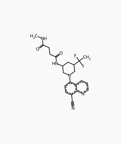 CNC(=O)CCC(=O)NC1CC(C(C)(F)I)CN(c2ccc(C#N)c3ncccc23)C1